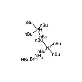 Br.Br.CCCC[N+](CCCC)(CCCC)CCCC.CCCC[PH](CCCC)(CCCC)CCCC.N